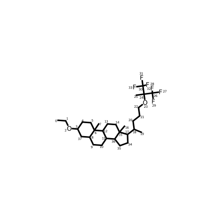 CCOC1CCC2(C)C(CCC3C2CCC2(C)C(C(C)CCCOC(C)(C(F)(F)F)C(F)(F)F)CCC32)C1